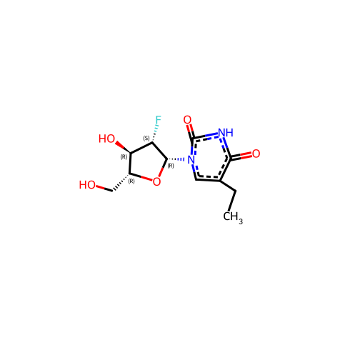 CCc1cn([C@@H]2O[C@H](CO)[C@@H](O)[C@@H]2F)c(=O)[nH]c1=O